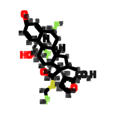 C[C@@H]1C[C@H]2[C@@H]3C[C@H](F)C4=CC(=O)C=C[C@]4(C)[C@@]3(F)[C@@H](O)C[C@]2(C)[C@@]1(C(=O)SCF)c1ccoc1C(=O)O